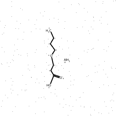 CCCCOCCC(=O)O.[AlH3]